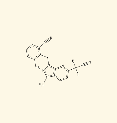 Cc1cccc(C#N)c1Cn1nc(C)c2ccc(C(F)(F)C#N)nc21